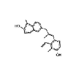 C=Cc1c(/C=C(\C)Cc2ccc3c(C)c(O)ccc3c2)ccc(O)c1C